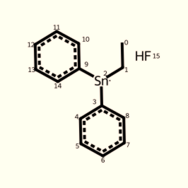 C[CH2][Sn]([c]1ccccc1)[c]1ccccc1.F